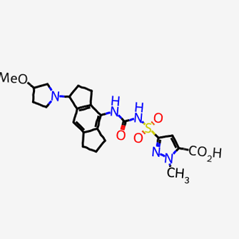 COC1CCN(C2CCc3c2cc2c(c3NC(=O)NS(=O)(=O)c3cc(C(=O)O)n(C)n3)CCC2)C1